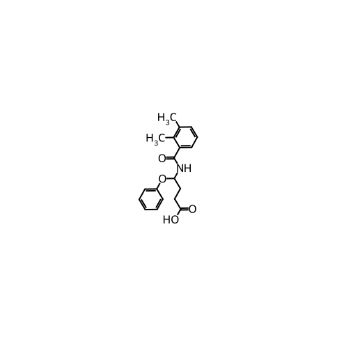 Cc1cccc(C(=O)NC(CCC(=O)O)Oc2ccccc2)c1C